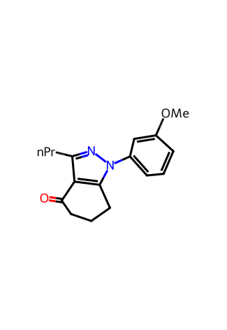 CCCc1nn(-c2cccc(OC)c2)c2c1C(=O)CCC2